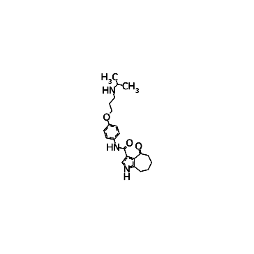 CC(C)NCCCOc1ccc(NC(=O)c2c[nH]c3c2C(=O)CCCC3)cc1